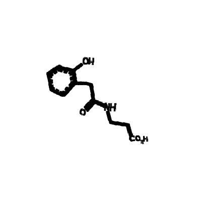 O=C(O)CCNC(=O)Cc1ccccc1O